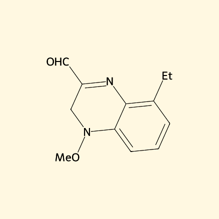 CCc1cccc2c1N=C(C=O)CN2OC